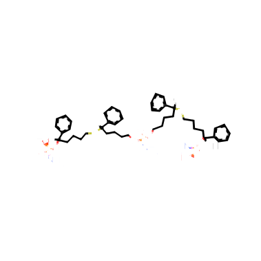 CC(CCCCSC(C)(CCCCOP(N)(=O)OCCCCC(C)(SCCCCC(C)(OP(N)(=O)O)c1ccccc1)c1ccccc1)c1ccccc1)(OP(N)(=O)O)c1ccccc1